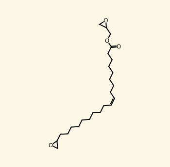 O=C(CCCCCCC/C=C\CCCCCCCCCC1CO1)OCC1CO1